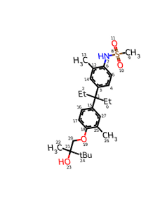 CCC(CC)(c1ccc(NS(C)(=O)=O)c(C)c1)c1ccc(OCC(C)(O)C(C)(C)C)c(C)c1